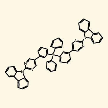 c1ccc(S(c2ccccc2)(c2cccc(-c3cnc(-n4c5ccccc5c5ccccc54)nc3)c2)c2cccc(-c3cnc(-n4c5ccccc5c5ccccc54)nc3)c2)cc1